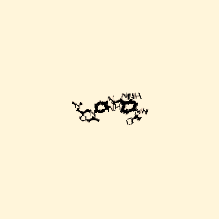 CC(=O)Nc1ccc2c(-c3nc4ccc(N5CC(CN(C)C)OCC5C)cc4[nH]3)n[nH]c2c1